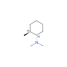 C[C@H]1CCCC[C@@H]1N(C)C